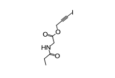 CCC(=O)NCC(=O)OCC#CI